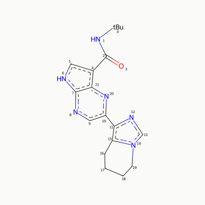 CC(C)(C)NC(=O)c1c[nH]c2ncc(-c3ncn4c3CCCC4)nc12